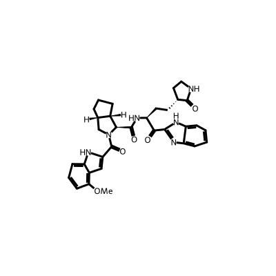 COc1cccc2[nH]c(C(=O)N3C[C@@H]4CCC[C@@H]4[C@H]3C(=O)N[C@@H](CC[C@@H]3CCNC3=O)C(=O)c3nc4ccccc4[nH]3)cc12